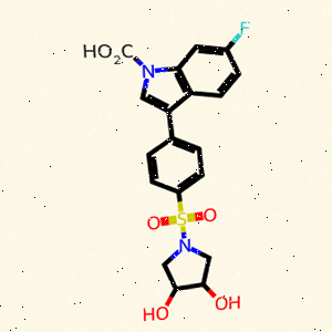 O=C(O)n1cc(-c2ccc(S(=O)(=O)N3CC(O)C(O)C3)cc2)c2ccc(F)cc21